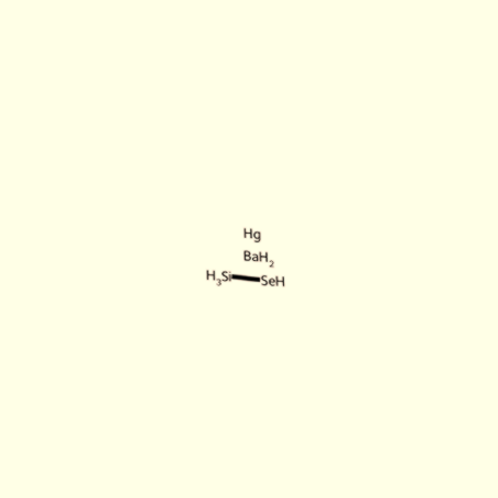 [BaH2].[Hg].[SiH3][SeH]